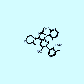 COc1c(C)cccc1-c1nc2c(cc1C#N)c(N1CCNCC1C)nc(=O)n2-c1c(C)ccnc1C(C)C